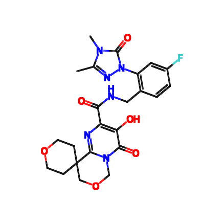 Cc1nn(-c2cc(F)ccc2CNC(=O)c2nc3n(c(=O)c2O)COCC32CCOCC2)c(=O)n1C